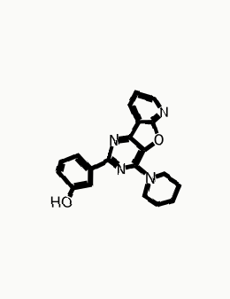 Oc1cccc(-c2nc(N3CCCCC3)c3oc4ncccc4c3n2)c1